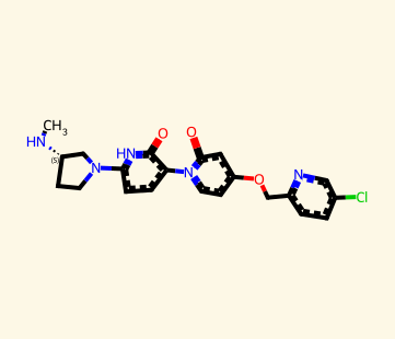 CN[C@H]1CCN(c2ccc(-n3ccc(OCc4ccc(Cl)cn4)cc3=O)c(=O)[nH]2)C1